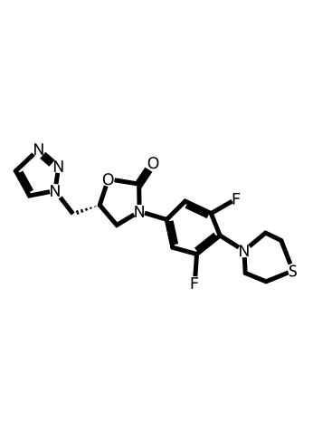 O=C1O[C@@H](Cn2ccnn2)CN1c1cc(F)c(N2CCSCC2)c(F)c1